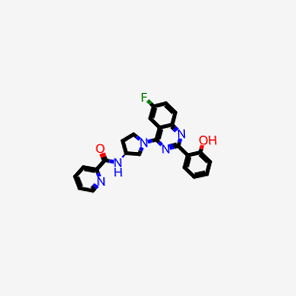 O=C(N[C@@H]1CCN(c2nc(-c3ccccc3O)nc3ccc(F)cc23)C1)c1ccccn1